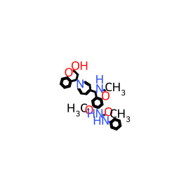 COc1cc(C(NC(C)=O)C2=CC=CN(C(CC(=O)O)c3ccccc3)C=C2)ccc1NC(=O)Nc1ccccc1C